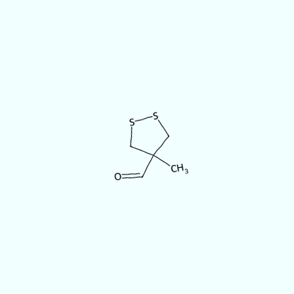 CC1(C=O)CSSC1